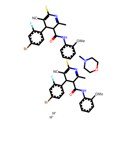 CN1CCOCC1.COc1ccccc1NC(=O)C1C(C)=NC([S-])=C(C#N)C1c1ccc(Br)cc1F.COc1ccccc1NC(=O)C1C(C)=NC([S-])=C(C#N)C1c1ccc(Br)cc1F.[H+].[H+]